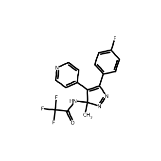 CC1(NC(=O)C(F)(F)F)N=NC(c2ccc(F)cc2)=C1c1ccncc1